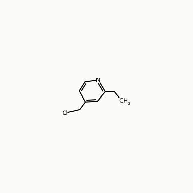 CCc1cc(CCl)ccn1